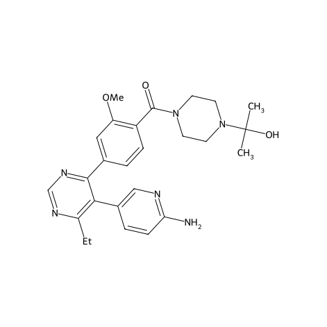 CCc1ncnc(-c2ccc(C(=O)N3CCN(C(C)(C)O)CC3)c(OC)c2)c1-c1ccc(N)nc1